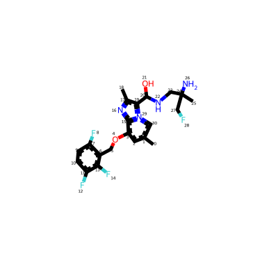 Cc1cc(OCc2c(F)ccc(F)c2F)c2nc(C)c(C(O)NCC(C)(N)CF)n2c1